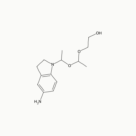 CC(OCCO)OC(C)N1CCc2cc(N)ccc21